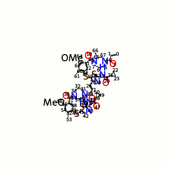 C=CC(=O)N1CCCN(C(=O)c2cc(Sc3sc(NC(=O)C4CC4)nc3/C=C/C(=O)N3CCCN(C(=O)c4cc(Sc5cnc(NC(=O)C6CC6)s5)c(C)cc4OC)C[C@@H]3C)c(C)cc2OC)[C@@H](C)C1